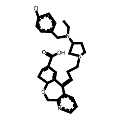 CCN(Cc1ccc(Cl)cc1)C1CCN(CC/C=C2\C3=CC(C(=O)O)=CCC3OCc3ncccc32)C1